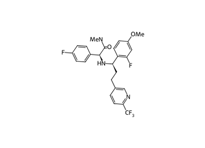 CNC(=O)[C@@H](N[C@H](CCc1ccc(C(F)(F)F)nc1)c1ccc(OC)cc1F)c1ccc(F)cc1